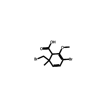 COC1=C(Br)C=CC(C)(CBr)C1C(=O)O